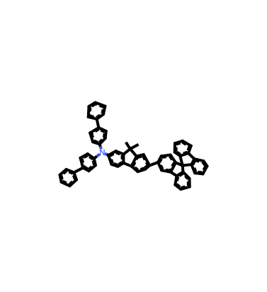 CC1(C)c2cc(-c3ccc4c(c3)-c3ccccc3C43c4ccccc4-c4ccccc43)ccc2-c2ccc(N(c3ccc(-c4ccccc4)cc3)c3ccc(-c4ccccc4)cc3)cc21